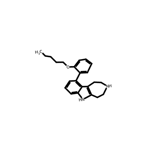 CCCCCOc1ccccc1-c1cccc2[nH]c3c(c12)CCNCC3